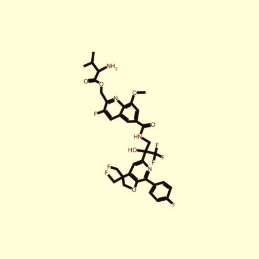 COc1cc(C(=O)NCC(O)(c2cc3c(c(-c4ccc(F)cc4)n2)OCC3(CF)CF)C(F)(F)F)cc2cc(F)c(COC(=O)C(N)C(C)C)nc12